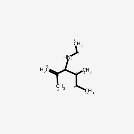 C=C(C)C(NCC)C(C)CC